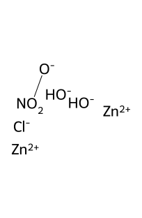 O=[N+]([O-])[O-].[Cl-].[OH-].[OH-].[Zn+2].[Zn+2]